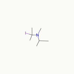 CC(C)N(C)C(C)(C)I